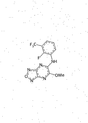 COc1nc2nonc2nc1Nc1cccc(C(F)(F)F)c1F